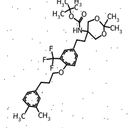 Cc1ccc(CCCOc2ccc(CCC3(NC(=O)OC(C)(C)C)COC(C)(C)OC3)cc2C(F)(F)F)cc1C